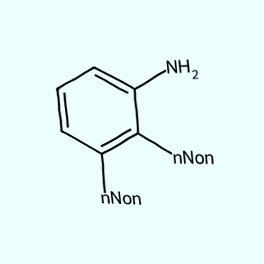 CCCCCCCCCc1cccc(N)c1CCCCCCCCC